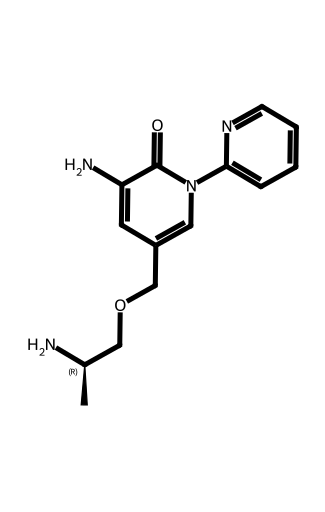 C[C@@H](N)COCc1cc(N)c(=O)n(-c2ccccn2)c1